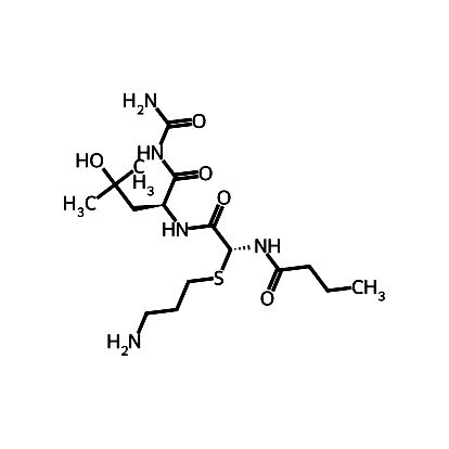 CCCC(=O)N[C@H](SCCCN)C(=O)N[C@@H](CC(C)(C)O)C(=O)NC(N)=O